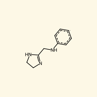 [c]1ccc(NCC2=NCCN2)cc1